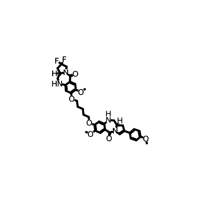 COc1ccc(C2=CN3C(=O)c4cc(OC)c(OCCCCCOc5cc6c(cc5OC)C(=O)N5CC(F)(F)C[C@H]5CN6)cc4NC[C@@H]3C2)cc1